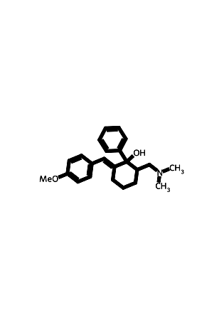 COc1ccc(C=C2CCCC(CN(C)C)C2(O)c2ccccc2)cc1